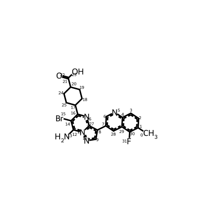 Cc1ccc2ncc(-c3cnn4c(N)c(Br)c(C5CCC(C(=O)O)CC5)nc34)cc2c1F